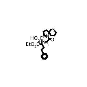 CCOC(=O)C(CCc1ccccc1)N[C@@H](C)C(=O)N1[C@H](C(=O)O)CCC12CCCSC2